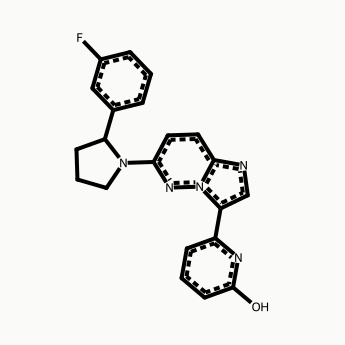 Oc1cccc(-c2cnc3ccc(N4CCCC4c4cccc(F)c4)nn23)n1